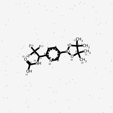 CC1(C)OB(c2ccc(C(NC(=O)O)C(F)(F)F)nc2)OC1(C)C